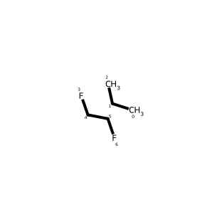 CCC.FCCF